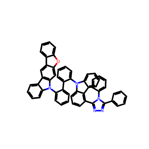 c1ccc(-c2nnc(-c3cccc4c3c3ccccc3n4-c3ccccc3-c3ccccc3-n3c4ccccc4c4cc5c(cc43)oc3ccccc35)n2-c2ccccc2)cc1